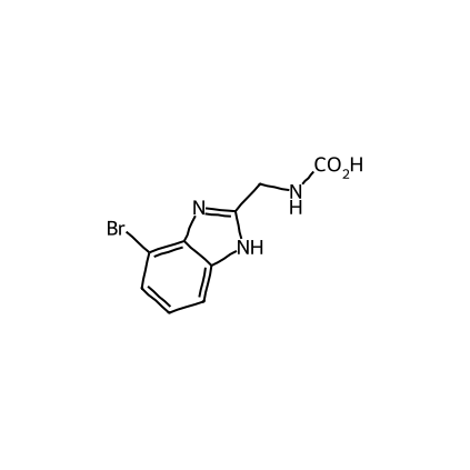 O=C(O)NCc1nc2c(Br)cccc2[nH]1